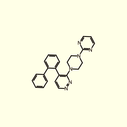 c1ccc(-c2ccccc2-c2ccnnc2N2CCN(c3ncccn3)CC2)cc1